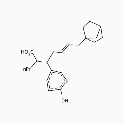 CCCC(C(=O)O)C(CC=CCC12CCC(CC1)C2)c1ccc(O)cc1